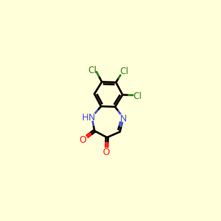 O=c1cnc2c(Cl)c(Cl)c(Cl)cc2[nH]c1=O